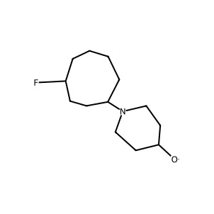 [O]C1CCN(C2CCCCC(F)CC2)CC1